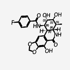 C[C@@H]1[C@H](O)[C@@H](O)[C@H](NC(=O)c2ccc(F)cc2)[C@@H]2c3cc4c(c(O)c3C(=O)N[C@@H]12)OCO4